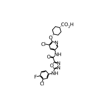 O=C(Nc1cnc(O[C@H]2CC[C@@H](C(=O)O)CC2)c(Cl)c1)c1nnc(Nc2ccc(F)c(Cl)c2)o1